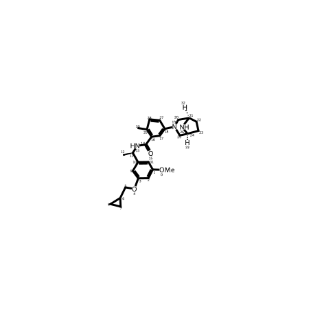 COc1cc(OCC2CC2)cc([C@@H](C)NC(=O)c2cc(N3C[C@H]4CC[C@@H](C3)N4)ccc2C)c1